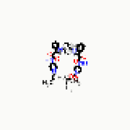 CC(C)n1cc(C(=O)C(=O)NC2CCN(C(=O)OC(C)(C)C)CC2)c2ccccc21.CCCCN1CCC(NC(=O)C(=O)c2cn(C(C)C)c3ccccc23)CC1